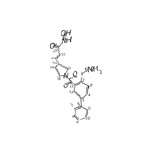 NCc1ccc(-c2ccccc2)cc1S(=O)(=O)n1ccc(C=CC(=O)NO)c1